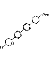 CCCCC[C@H]1CC[C@H](c2ccc(-c3ccc(C4CCC(CCC)CO4)cc3)cc2)CC1